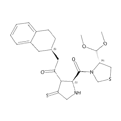 COC(OC)[C@@H]1CSCN1C(=O)[C@H]1NCC(=S)C1C(=O)C[C@@H]1CCc2ccccc2C1